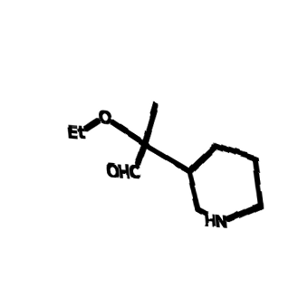 CCOC(C)(C=O)C1CCCNC1